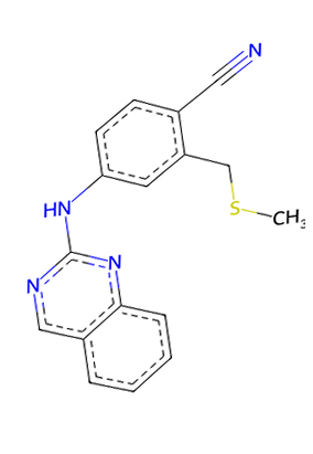 CSCc1cc(Nc2ncc3ccccc3n2)ccc1C#N